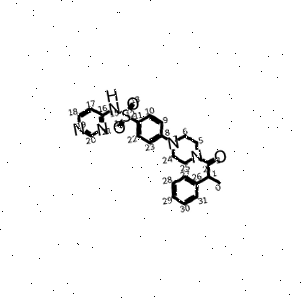 CC(C(=O)N1CCN(c2ccc(S(=O)(=O)Nc3ccncn3)cc2)CC1)c1ccccc1